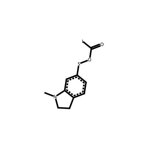 CN1CCc2ccc(SOC(=O)I)cc21